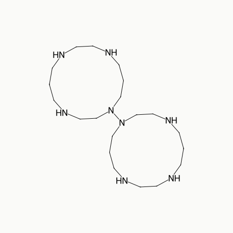 C1CNCCNCCCN(N2CCCNCCNCCCNCC2)CCNC1